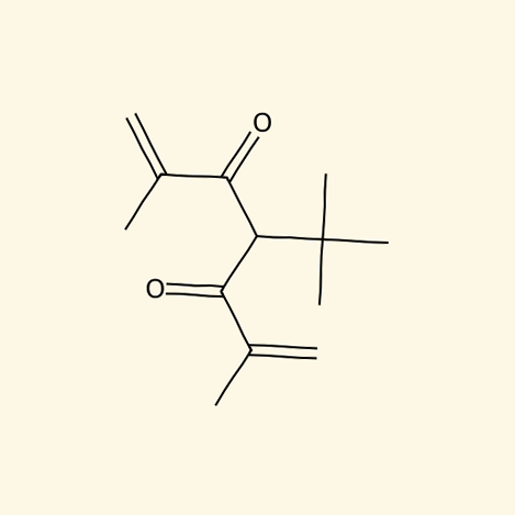 C=C(C)C(=O)C(C(=O)C(=C)C)C(C)(C)C